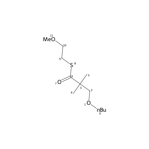 CCCCOCC(C)(C)C(=O)SCCOC